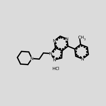 Cc1ccncc1-c1ncnc2c1cnn2CCN1CCCCC1.Cl